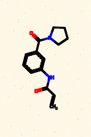 C=CC(=O)Nc1cccc(C(=O)N2CCCC2)c1